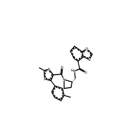 Cc1cccc(-c2sc(C)nc2C(=O)N2CC[C@H]2CNC(=O)c2cccc3ocnc23)c1